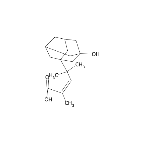 CC(=CC(C)(C)C12CC3CC(CC(O)(C3)C1)C2)C(=O)O